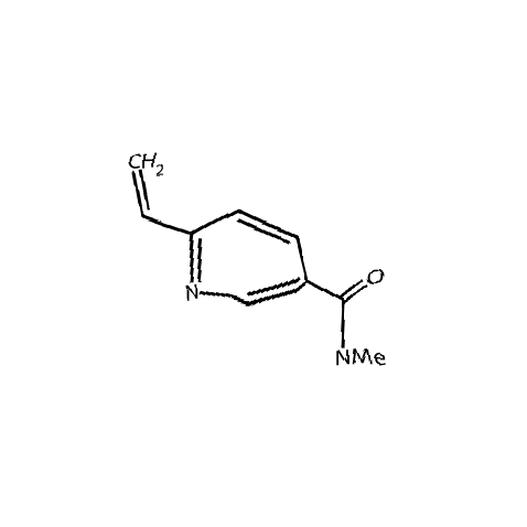 C=Cc1ccc(C(=O)NC)cn1